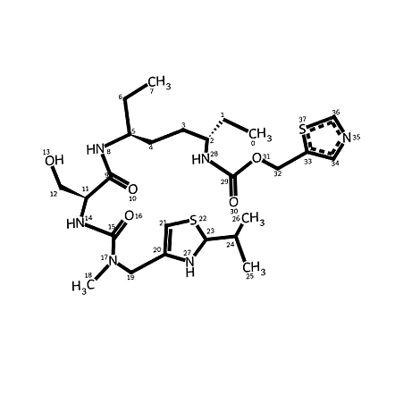 CC[C@@H](CC[C@H](CC)NC(=O)[C@H](CO)NC(=O)N(C)CC1=CSC(C(C)C)N1)NC(=O)OCc1cncs1